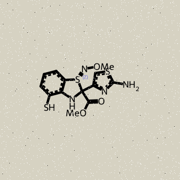 CO/N=S1/c2cccc(S)c2NC1(C(=O)OC)c1csc(N)n1